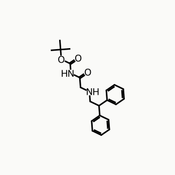 CC(C)(C)OC(=O)NC(=O)CNCC(c1ccccc1)c1ccccc1